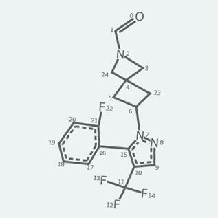 O=CN1CC2(CC(n3ncc(C(F)(F)F)c3-c3ccccc3F)C2)C1